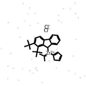 C[C](C)=[Zr+2]([C]1=CC=CC1)[CH]1c2ccccc2-c2ccc(C(C)(C)C)c(C(C)(C)C)c21.[Cl-].[Cl-]